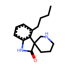 CCCCc1cccc2c1C1(CCCNC1)C(=O)N2